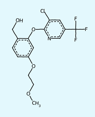 COCCOc1ccc(CO)c(Oc2ncc(C(F)(F)F)cc2Cl)c1